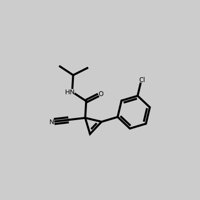 CC(C)NC(=O)C1(C#N)C=C1c1cccc(Cl)c1